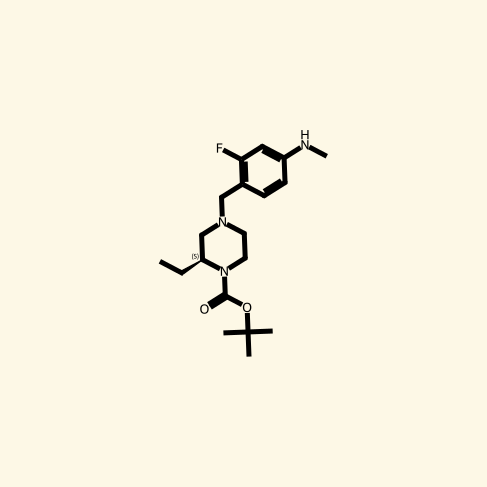 CC[C@H]1CN(Cc2ccc(NC)cc2F)CCN1C(=O)OC(C)(C)C